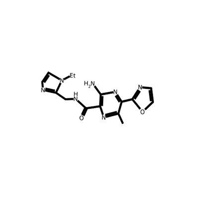 CCn1ccnc1CNC(=O)c1nc(C)c(-c2ncco2)nc1N